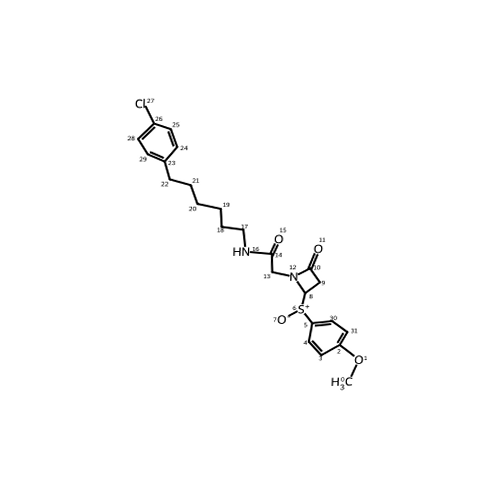 COc1ccc([S+]([O-])C2CC(=O)N2CC(=O)NCCCCCCc2ccc(Cl)cc2)cc1